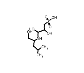 CC(C)CC(CO)NC(O)C(O)CS(=O)(=O)O